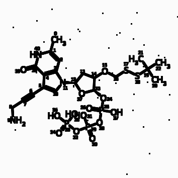 Cc1cc2c(c(C#CCN)cn2[C@H]2CC(OCSSC(C)(C)C)[C@@H](OP(=O)(O)OP(=O)(O)OP(=O)(O)O)O2)c(=O)[nH]1